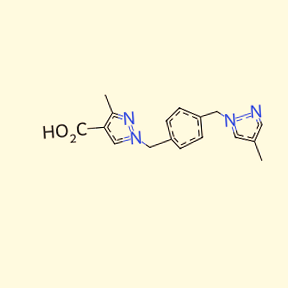 Cc1cnn(Cc2ccc(Cn3cc(C(=O)O)c(C)n3)cc2)c1